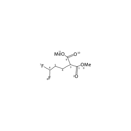 COC(=O)C(CCC(F)F)C(=O)OC